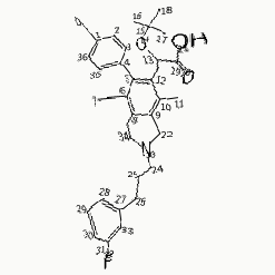 Cc1ccc(-c2c(C)c3c(c(C)c2C(OC(C)(C)C)C(=O)O)CN(CCCc2cccc(F)c2)C3)cc1